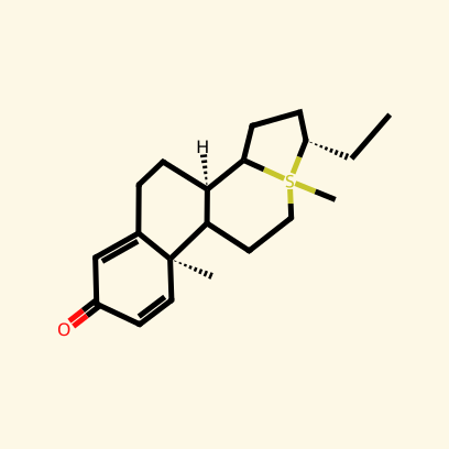 CC[C@H]1CCC2[C@@H]3CCC4=CC(=O)C=C[C@]4(C)C3CCS21C